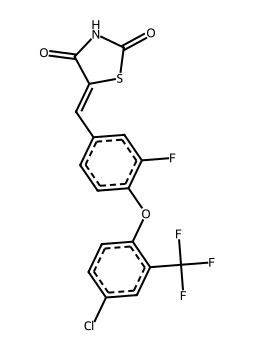 O=C1NC(=O)C(=Cc2ccc(Oc3ccc(Cl)cc3C(F)(F)F)c(F)c2)S1